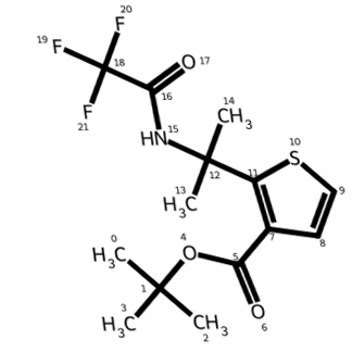 CC(C)(C)OC(=O)c1ccsc1C(C)(C)NC(=O)C(F)(F)F